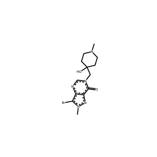 CN1CCC(O)(Cn2cnc3c(Br)n(C)nc3c2=O)CC1